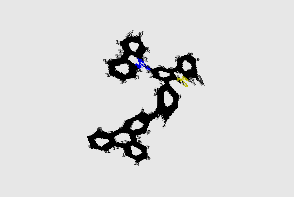 c1cc(-c2ccc3c4ccccc4c4ccccc4c3c2)cc(-c2cc(-n3c4ccccc4c4ccccc43)cc3c2sc2ccccc23)c1